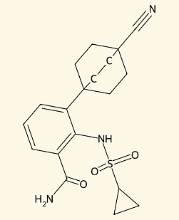 N#CC12CCC(c3cccc(C(N)=O)c3NS(=O)(=O)C3CC3)(CC1)CC2